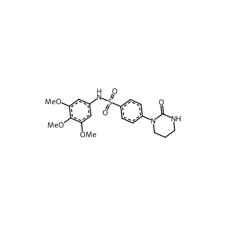 COc1cc(NS(=O)(=O)c2ccc(N3CCCNC3=O)cc2)cc(OC)c1OC